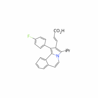 CC(C)c1c(C=CC(=O)O)c(-c2ccc(F)cc2)c2c3ccccc3ccn12